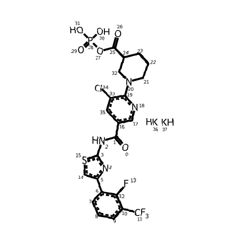 O=C(Nc1nc(-c2cccc(C(F)(F)F)c2F)cs1)c1cnc(N2CCCC(C(=O)OP(=O)(O)O)C2)c(Cl)c1.[KH].[KH]